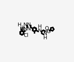 Cc1cc(-c2cnc(N)c(NCc3c(Cl)cccc3Cl)n2)ccc1CNC1CCN[C@@H](C(=O)OC2CCCC2)C1